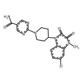 Cn1c(=O)c(=O)n(C2CCN(c3ncc(C(N)=O)cn3)CC2)c2ccc(Cl)cc21